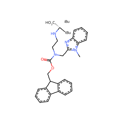 CC[C@H](C)[C@@](NCCN(Cc1nc2ccccc2n1C)C(=O)OCC1c2ccccc2-c2ccccc21)(C(=O)O)C(C)(C)C